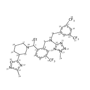 CCC(c1ccc(C(F)(F)F)cc1CN(Cc1cc(C(F)(F)F)cc(C(F)(F)F)c1)c1nnn(C)n1)N1CCCC(c2nc(C)no2)C1